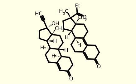 C#C[C@]1(O)CC[C@H]2[C@@H]3CCC4=CC(=O)CC[C@@H]4[C@H]3CC[C@@]21C.CCC(=O)[C@@]1(C)CC[C@H]2[C@@H]3CCC4=CC(=O)CCC4=C3CC[C@@]21C